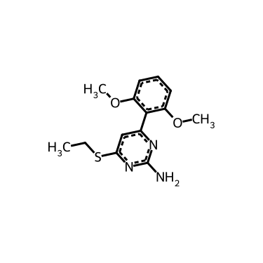 CCSc1cc(-c2c(OC)cccc2OC)nc(N)n1